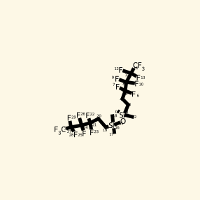 C[Si](C)(CCC(F)(F)C(F)(F)C(F)(F)C(F)(F)F)O[Si](C)(C)CCC(F)(F)C(F)(F)C(F)(F)C(F)(F)F